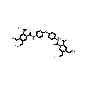 C=Cc1cc(C(=O)O)c(C(=O)Nc2ccc(Oc3ccc(NC(=O)c4cc(C=C)c(C=C)cc4C(=O)O)cc3)cc2)cc1C=C